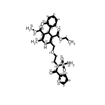 CCOC(=O)C1=C(COCCN(C(=O)c2ccco2)S(N)(=O)=O)NC(C)=C(C(=O)OC)C1c1ccccc1Cl